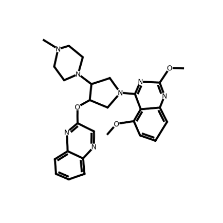 COc1nc(N2CC(Oc3cnc4ccccc4n3)C(N3CCN(C)CC3)C2)c2c(OC)cccc2n1